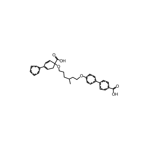 CC(CCCOC1(C(=O)O)C=CC(c2ccccc2)=CC1)CCOc1ccc(-c2ccc(C(=O)O)cc2)cc1